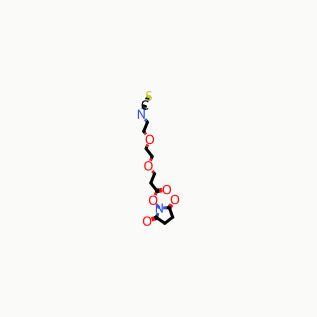 O=C(CCOCCOCCN=C=S)ON1C(=O)CCC1=O